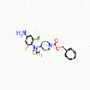 CN(c1c(F)cc(N)cc1F)C1CCN(C(=O)OCc2ccccc2)CC1